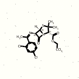 CC(=N[C@@H]1C(=O)N2[C@@H]1SC(C)(C)[C@@H]2C(=O)OCC(Cl)(Cl)Cl)c1ccc(Cl)cc1Cl